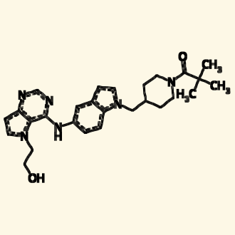 CC(C)(C)C(=O)N1CCC(Cn2ccc3cc(Nc4ncnc5ccn(CCO)c45)ccc32)CC1